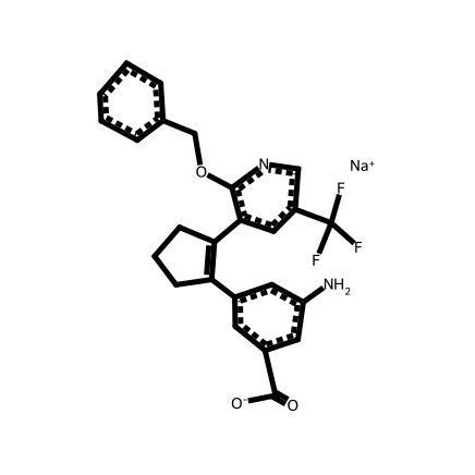 Nc1cc(C(=O)[O-])cc(C2=C(c3cc(C(F)(F)F)cnc3OCc3ccccc3)CCC2)c1.[Na+]